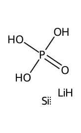 O=P(O)(O)O.[LiH].[Si]